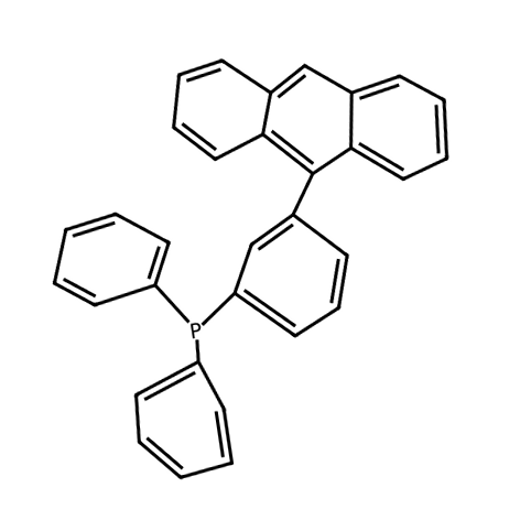 c1ccc(P(c2ccccc2)c2cccc(-c3c4ccccc4cc4ccccc34)c2)cc1